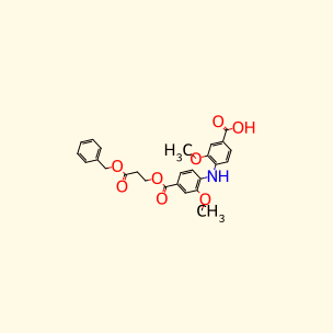 COc1cc(C(=O)O)ccc1Nc1ccc(C(=O)OCCC(=O)OCc2ccccc2)cc1OC